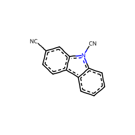 N#Cc1ccc2c3ccccc3n(C#N)c2c1